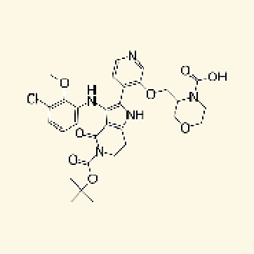 COc1c(Cl)cccc1Nc1c(-c2ccncc2OC[C@H]2COCCN2C(=O)O)[nH]c2c1C(=O)N(C(=O)OC(C)(C)C)CC2